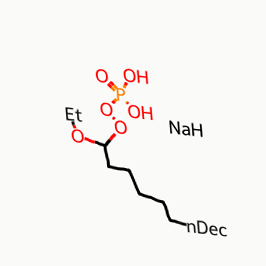 CCCCCCCCCCCCCCCC(OCC)OOP(=O)(O)O.[NaH]